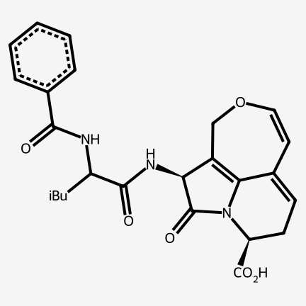 CCC(C)C(NC(=O)c1ccccc1)C(=O)N[C@@H]1C(=O)N2C3=C1COC=CC3=CC[C@H]2C(=O)O